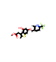 COC(=O)Cc1c(C)sc2cc(OCc3ccc(C(F)(F)F)nc3C)cc(O)c12